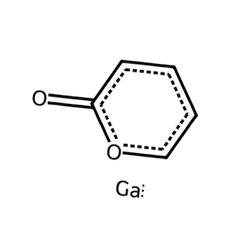 O=c1cccco1.[Ga]